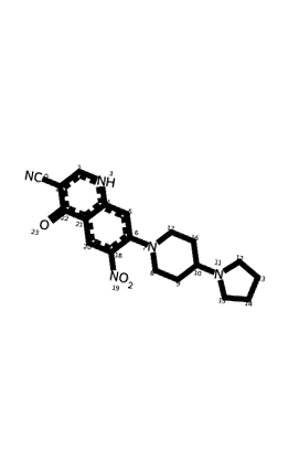 N#Cc1c[nH]c2cc(N3CCC(N4CCCC4)CC3)c([N+](=O)[O-])cc2c1=O